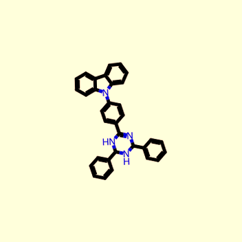 c1ccc(C2N=C(c3ccc(-n4c5ccccc5c5ccccc54)cc3)NC(c3ccccc3)N2)cc1